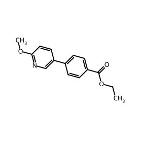 CCOC(=O)c1ccc(-c2ccc(OC)nc2)cc1